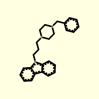 c1ccc(CN2CCN(CCCn3c4ccccc4c4ccccc43)CC2)cc1